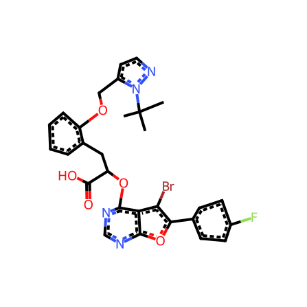 CC(C)(C)n1nccc1COc1ccccc1CC(Oc1ncnc2oc(-c3ccc(F)cc3)c(Br)c12)C(=O)O